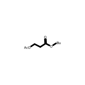 CCC(C)OC(=O)CCOC(C)=O